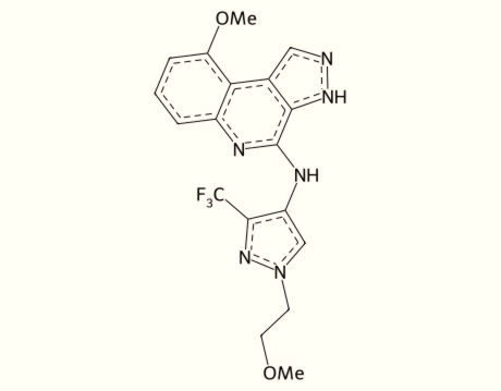 COCCn1cc(Nc2nc3cccc(OC)c3c3cn[nH]c23)c(C(F)(F)F)n1